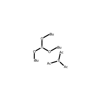 CCC(C)[O][Ti]([O]C(C)CC)[O]C(C)CC.C[C](=O)[Ti]([C](C)=O)[C](C)=O